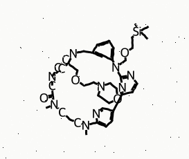 CN1CCCN(C)c2ccc(cn2)-c2ccnc(n2)N(COCC[Si](C)(C)C)c2cccc(c2)CN2CCN(CC1=O)CC2COCCN1CCOCC1